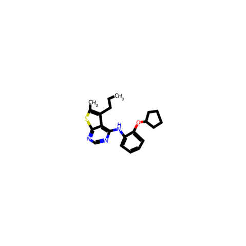 CCCc1c(C)sc2ncnc(Nc3ccccc3OC3CCCC3)c12